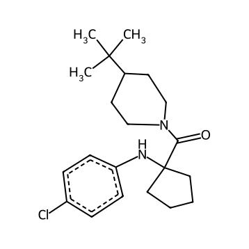 CC(C)(C)C1CCN(C(=O)C2(Nc3ccc(Cl)cc3)CCCC2)CC1